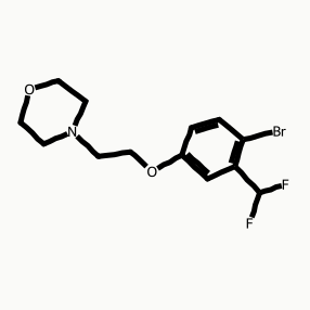 FC(F)c1cc(OCCN2CCOCC2)ccc1Br